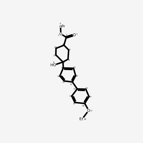 CCCOC(=O)C1CCC(O)(c2ccc(-c3ccc(OCC)cc3)cc2)CC1